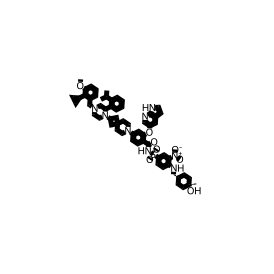 COc1cccc(CN2CCN(C3CC4(CCN(c5ccc(C(=O)NS(=O)(=O)c6ccc(NC[C@H]7CC[C@](C)(O)CC7)c([N+](=O)[O-])c6)c(Oc6cnc7[nH]ccc7c6)c5)CC4)C3)C(c3ccccc3C(C)C)C2)c1C1CC1